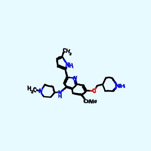 COc1cc2c(NC3CCN(C)CC3)cc(-c3ccc(C)[nH]3)nc2cc1OCC1CCNCC1